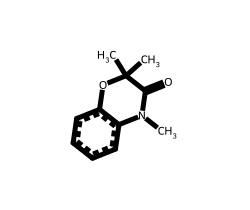 CN1C(=O)C(C)(C)Oc2ccccc21